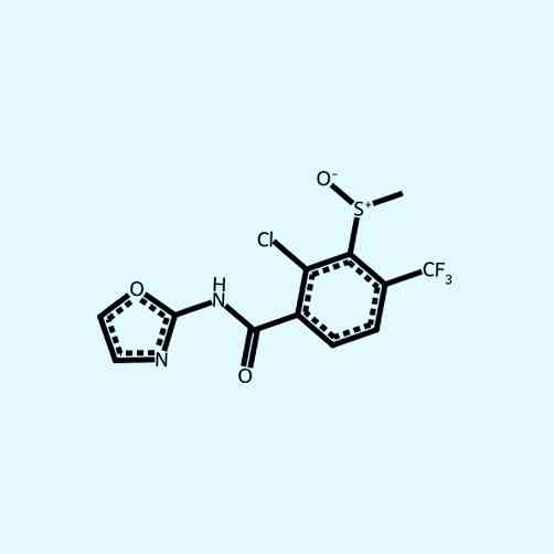 C[S+]([O-])c1c(C(F)(F)F)ccc(C(=O)Nc2ncco2)c1Cl